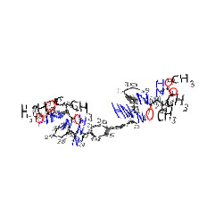 COC(=O)N[C@@H](C(=O)N1CCC[C@@H]1c1ncc(C#Cc2ccc(-c3cnc([C@H]4CCCN4C(=O)[C@H](NC(=O)OC)C(C)C)[nH]3)cc2)[nH]1)C(C)C